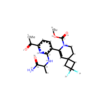 COC(=O)c1ccc(C2=CC3(CCN2C(=O)OC(C)(C)C)CC(F)(F)C3)c(NC(C)C(N)=O)n1